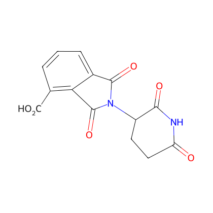 O=C1CCC(N2C(=O)c3cccc(C(=O)O)c3C2=O)C(=O)N1